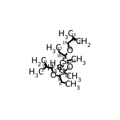 C=C(C)COC(CC)[Si](C)(C)O[Si](C)(C)C(CC)OCC(=C)C